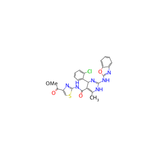 COC(=O)c1csc(NC(=O)C2=C(C)NC(Nc3nc4ccccc4o3)=NC2c2ccccc2Cl)n1